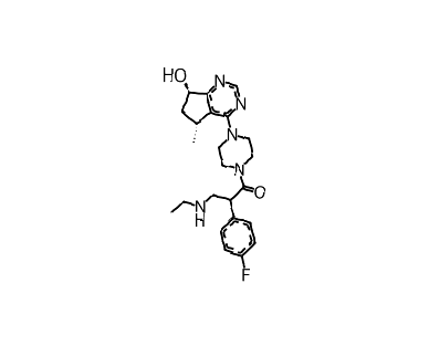 CCNCC(C(=O)N1CCN(c2ncnc3c2[C@H](C)C[C@H]3O)CC1)c1ccc(F)cc1